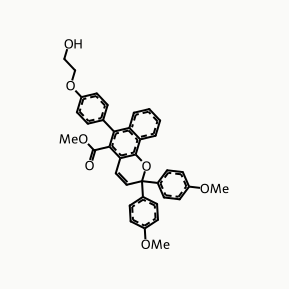 COC(=O)c1c2c(c3ccccc3c1-c1ccc(OCCO)cc1)OC(c1ccc(OC)cc1)(c1ccc(OC)cc1)C=C2